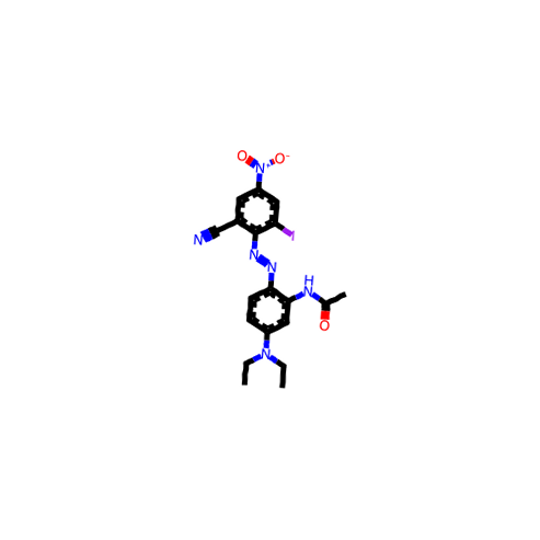 CCN(CC)c1ccc(N=Nc2c(I)cc([N+](=O)[O-])cc2C#N)c(NC(C)=O)c1